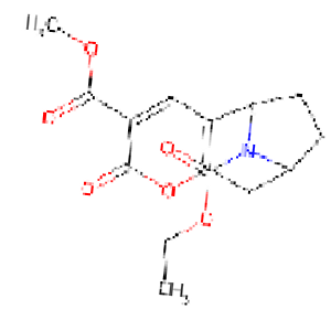 CCOC(=O)N1C2CCC1c1cc(C(=O)OC)c(=O)oc1C2